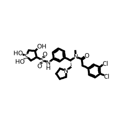 CN(C(=O)Cc1ccc(Cl)c(Cl)c1)[C@H](CN1CCCC1)c1cccc(NS(=O)(=O)C2CS(O)(O)CC2O)c1